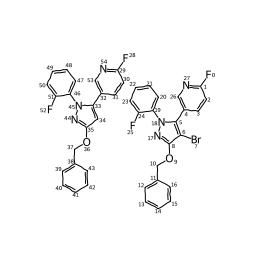 Fc1ccc(-c2c(Br)c(OCc3ccccc3)nn2-c2ccccc2F)cn1.Fc1ccc(-c2cc(OCc3ccccc3)nn2-c2ccccc2F)cn1